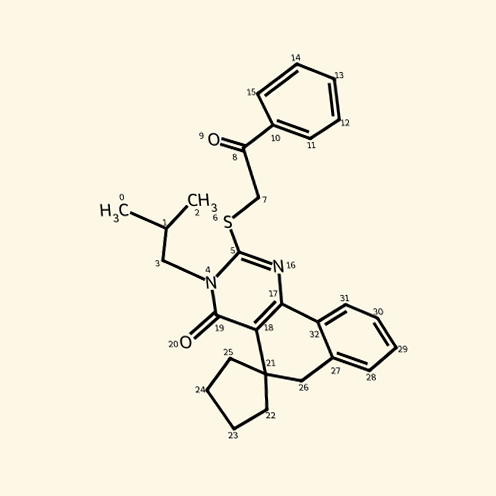 CC(C)Cn1c(SCC(=O)c2ccccc2)nc2c(c1=O)C1(CCCC1)Cc1ccccc1-2